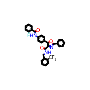 O=C(Nc1ccc(-c2oc(-c3ccccc3)nc2C(=O)NCc2ccccc2C(F)(F)F)cc1)c1ccccc1F